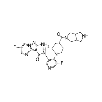 Nc1nn2cc(F)cnc2c1C(=O)Nc1cncc(F)c1N1CCC(C(=O)N2CC3CNCC3C2)CC1